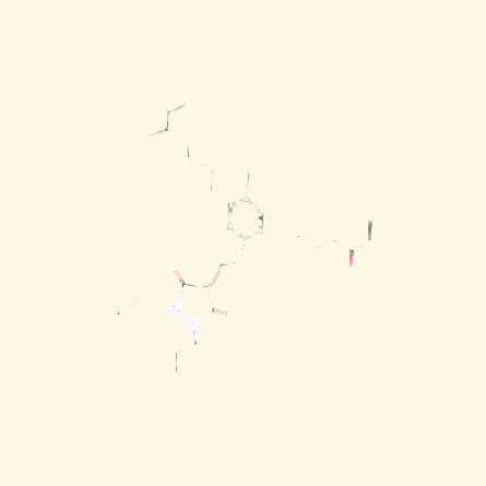 C=C(C)C(=O)CCCOc1cc(C)c(CCCOC(=O)C(=C)C)c2c1SC(=C1C(=O)N(CCCC)N(CCCC)C1=O)S2